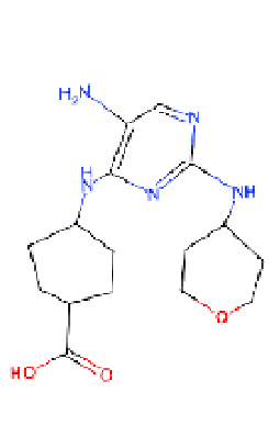 Nc1cnc(NC2CCOCC2)nc1NC1CCC(C(=O)O)CC1